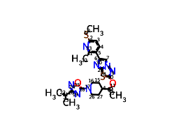 CSc1ccc(-c2cn3nc(O[C@@H](C)C4CCN(c5nc(C(C)C)no5)CC4)sc3n2)c(C)n1